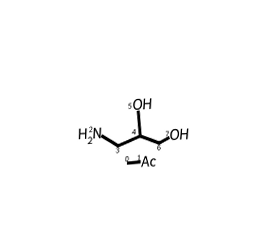 CC(C)=O.NCC(O)CO